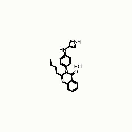 CCCCc1nc2ccccc2c(=O)n1-c1ccc(NC2CNC2)cc1.Cl